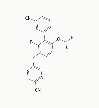 N#Cc1ccc(Cc2ccc(OC(F)F)c(-c3cccc(Cl)c3)c2F)cn1